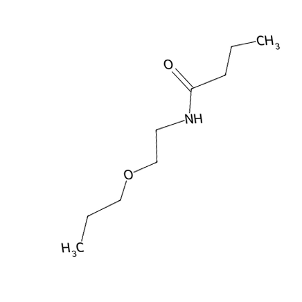 CCCOCCNC(=O)CCC